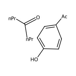 CC(=O)c1ccc(O)cc1.CCCC(=O)CCC